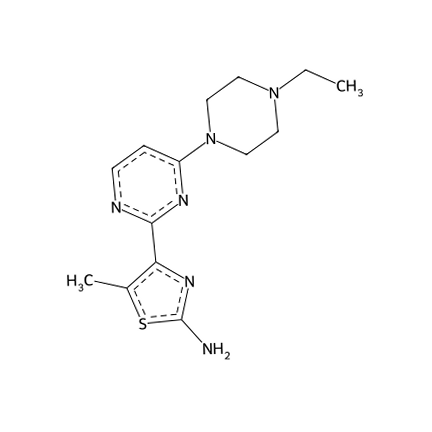 CCN1CCN(c2ccnc(-c3nc(N)sc3C)n2)CC1